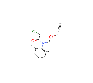 C#CCOCN(C(=O)CCl)C1=C(C)CCCC1C